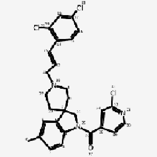 Cc1ccc2c(c1)C1(CCN(C/C=C/c3ccc(Cl)cc3Cl)CC1)CN2C(=O)c1ccnc(Cl)c1